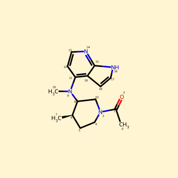 CC(=O)N1CC[C@@H](C)C(N(C)c2ccnc3[nH]ccc23)C1